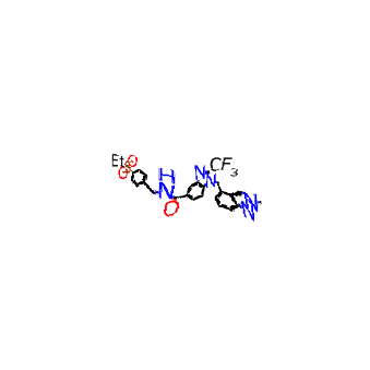 CCS(=O)(=O)c1ccc(CNC(=O)c2ccc3c(c2)nc(C(F)(F)F)n3Cc2cccc3nn(C)cc23)cc1